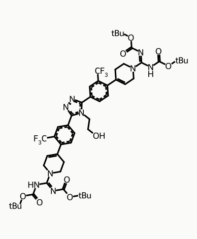 CC(C)(C)OC(=O)/N=C(/NC(=O)OC(C)(C)C)N1CC=C(c2ccc(-c3nnc(-c4ccc(C5=CCN(/C(=N\C(=O)OC(C)(C)C)NC(=O)OC(C)(C)C)CC5)c(C(F)(F)F)c4)n3CCO)cc2C(F)(F)F)CC1